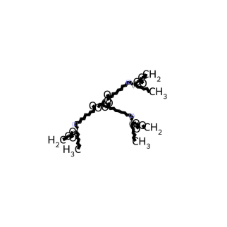 C=COC(=O)O[C@@H](C/C=C\CCCCCCCC(=O)OCC(COC(=O)CCCCCCC/C=C\C[C@@H](CCCCCC)OC(=O)OC=C)OC(=O)CCCCCCC/C=C\C[C@@H](CCCCCC)OC(=O)OC=C)CCCCCC